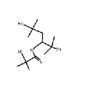 CCC(C)(C)C(=O)OC(CC(C)(C)O)C(C)(C)O